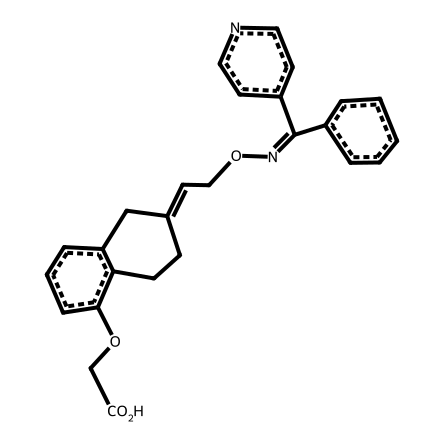 O=C(O)COc1cccc2c1CCC(=CCON=C(c1ccccc1)c1ccncc1)C2